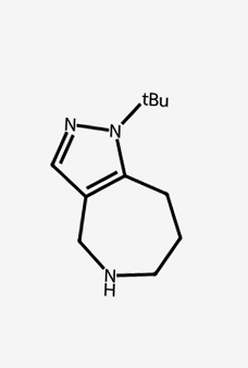 CC(C)(C)n1ncc2c1CCCNC2